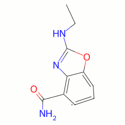 CCNc1nc2c(C(N)=O)[c]ccc2o1